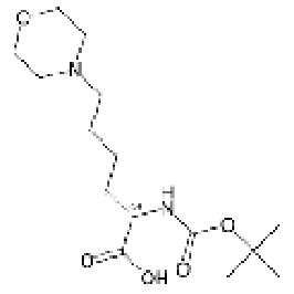 CC(C)(C)OC(=O)N[C@@H](CCCCN1CCOCC1)C(=O)O